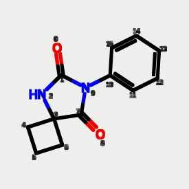 O=C1NC2(CCC2)C(=O)N1c1ccccc1